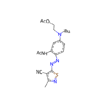 CCC(C)N(CCOC(C)=O)c1ccc(N=Nc2snc(C)c2C#N)c(NC(C)=O)c1